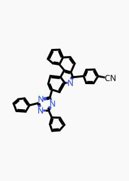 N#Cc1ccc(-c2nc3cc(-c4nc(-c5ccccc5)nc(-c5ccccc5)n4)ccc3c3c2ccc2ccccc23)cc1